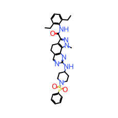 CCc1cccc(CC)c1NC(=O)c1nn(C)c2c1CCc1cnc(NC3CCN(S(=O)(=O)c4ccccc4)CC3)nc1-2